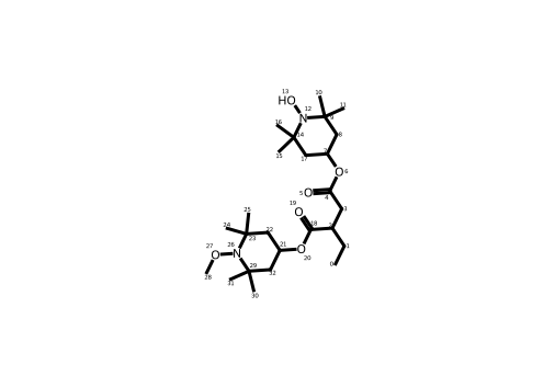 CCC(CC(=O)OC1CC(C)(C)N(O)C(C)(C)C1)C(=O)OC1CC(C)(C)N(OC)C(C)(C)C1